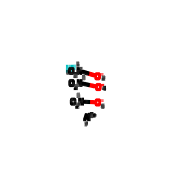 F.O=[N+]([O-])[O-].O=[N+]([O-])[O-].O=[N+]([O-])[O-].[Al+3]